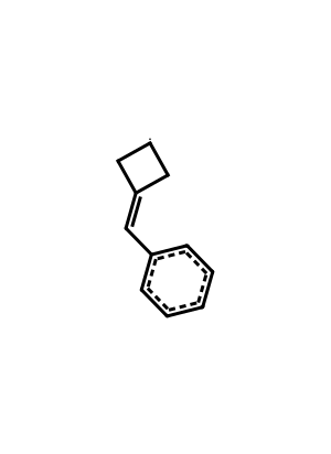 [CH]1CC(=Cc2ccccc2)C1